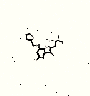 Cc1c(C[C@@H](N)[C@@H](C)F)oc2c(NCc3cccs3)cc(Cl)nc12